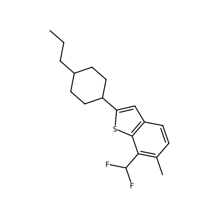 CCCC1CCC(c2cc3ccc(C)c(C(F)F)c3s2)CC1